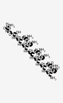 NCCN(CC(=O)NCCN(CC(=O)NCCN(CC(=O)NCCC(CC(=O)NCCN(CC(=O)NCCN(CC(=O)NCCN(CC(=O)O)C(=O)Cn1cnc2c(=O)[nH]c(N)nc21)C(=O)Cn1cnc2c(N)ncnc21)C(=O)Cn1ccc(N)nc1=O)C(=O)Cn1cnc2c(N)ncnc21)C(=O)Cn1ccc(N)nc1=O)C(=O)Cn1cnc2c(=O)[nH]c(N)nc21)C(=O)Cn1ccc(N)nc1=O